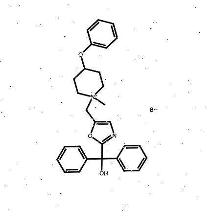 C[N+]1(Cc2cnc(C(O)(c3ccccc3)c3ccccc3)o2)CCC(Oc2ccccc2)CC1.[Br-]